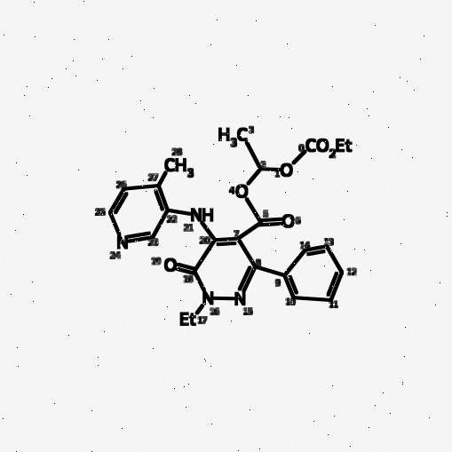 CCOC(=O)OC(C)OC(=O)c1c(-c2ccccc2)nn(CC)c(=O)c1Nc1cnccc1C